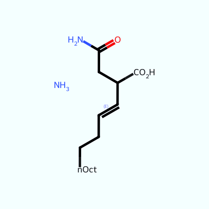 CCCCCCCCCC/C=C/C(CC(N)=O)C(=O)O.N